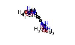 COC(=O)N[C@H](C(=O)N1CCC[C@H]1c1ncc(-c2ccc(-c3ccc4cc(-c5ccc6nc([C@@H]7[C@H]8CC[C@H](C8)N7C(=O)[C@@H](NC(=O)OC)C(C)C)[nH]c6c5)ccc4c3)cc2)[nH]1)C(C)C